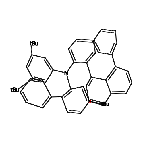 CC(C)(C)c1cc(N(c2cc(C(C)(C)C)ccc2-c2ccccc2)c2ccccc2-c2cccc3cccc(-c4ccccc4)c23)cc(C(C)(C)C)c1